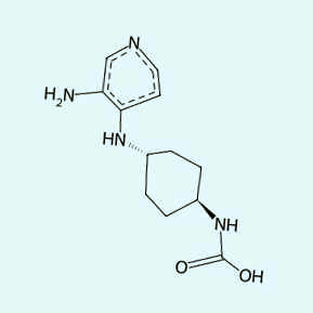 Nc1cnccc1N[C@H]1CC[C@H](NC(=O)O)CC1